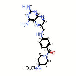 Nc1nc(N)c2nc(CNc3ccc(C(=O)N4CCC(NC(=O)O)CC4)cc3)cnc2n1